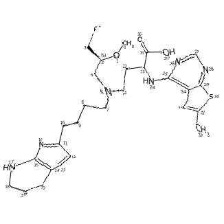 CO[C@H](CF)CN(CCCCc1ccc2c(n1)NCCC2)CCC(Nc1ncnc2sc(C)cc12)C(=O)O